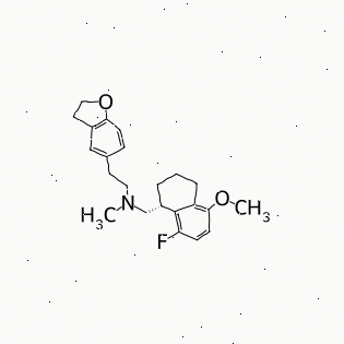 COc1ccc(F)c2c1CCC[C@H]2CN(C)CCc1ccc2c(c1)CCO2